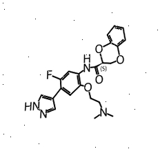 CN(C)CCOc1cc(-c2cn[nH]c2)c(F)cc1NC(=O)[C@@H]1COc2ccccc2O1